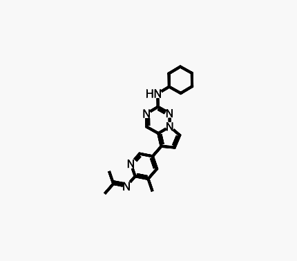 CC(C)=Nc1ncc(-c2ccn3nc(NC4CCCCC4)ncc23)cc1C